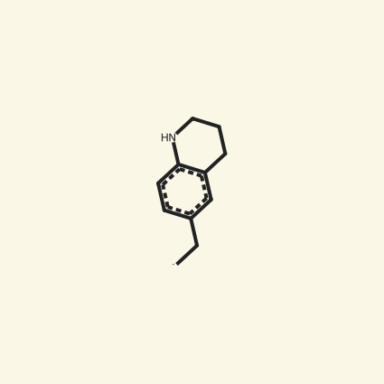 [CH2]Cc1ccc2c(c1)CCCN2